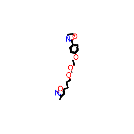 Cc1cc(CCCOCOCCOc2ccc(C3=NCCO3)cc2)on1